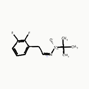 CC(C)(C)[S@@+]([O-])/N=C\Cc1cccc(F)c1F